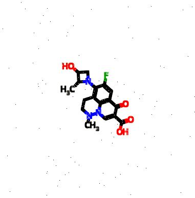 CC1C(O)CN1c1c(F)cc2c(=O)c(C(=O)O)cn3c2c1CCN3C